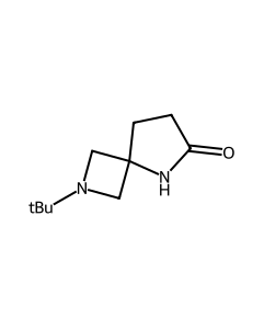 CC(C)(C)N1CC2(CCC(=O)N2)C1